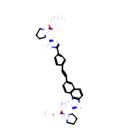 CC(C)(C)OC(=O)N1CCC[C@H]1c1ncc(-c2ccc(C#Cc3ccc4c(ccc5nc([C@@H]6CCCN6C(=O)OC(C)(C)C)[nH]c54)c3)cc2)[nH]1